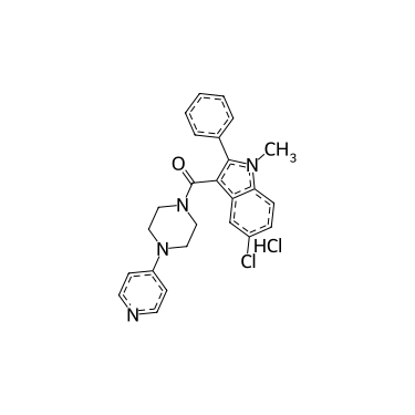 Cl.Cn1c(-c2ccccc2)c(C(=O)N2CCN(c3ccncc3)CC2)c2cc(Cl)ccc21